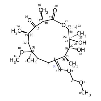 COCO/N=C1/CC[C@@](C)(OC)C[C@@H](C)C(=O)[C@@H](C)C(=O)O[C@H](I)[C@@](C)(O)[C@H](O)[C@H]1C